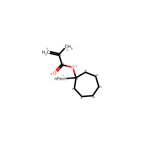 C=C(C)C(=O)OC1(CCCCC)CCCCCC1